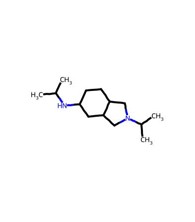 CC(C)NC1CCC2CN(C(C)C)CC2C1